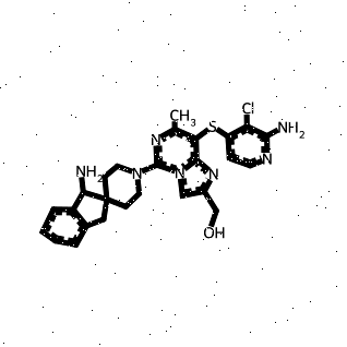 Cc1nc(N2CCC3(CC2)Cc2ccccc2C3N)n2cc(CO)nc2c1Sc1ccnc(N)c1Cl